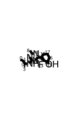 CC[C@H](C)Nc1nc(C)nc(C2=C(F)C(O)CCC2)n1